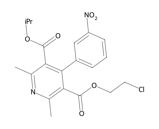 Cc1nc(C)c(C(=O)OC(C)C)c(-c2cccc([N+](=O)[O-])c2)c1C(=O)OCCCl